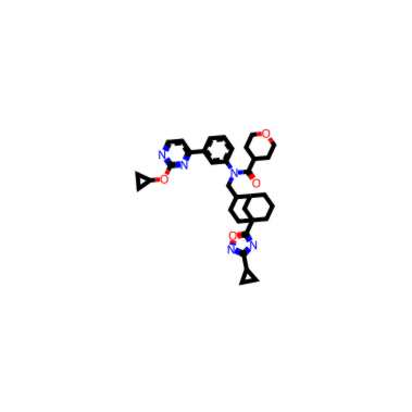 O=C(C1CCOCC1)N(CC1CCC2(c3nc(C4CC4)no3)CCCC1C2)c1cccc(-c2ccnc(OC3CC3)n2)c1